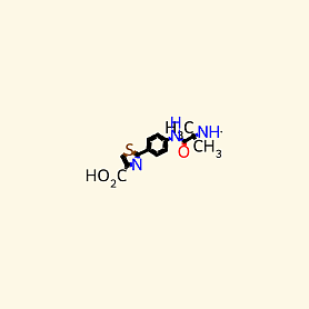 CC(C)([NH])C(=O)Nc1ccc(-c2nc(C(=O)O)cs2)cc1